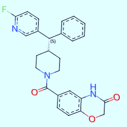 O=C1COc2ccc(C(=O)N3CCC([C@@H](c4ccccc4)c4ccc(F)nc4)CC3)cc2N1